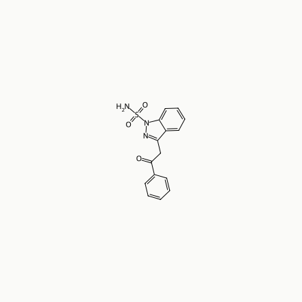 NS(=O)(=O)n1nc(CC(=O)c2ccccc2)c2ccccc21